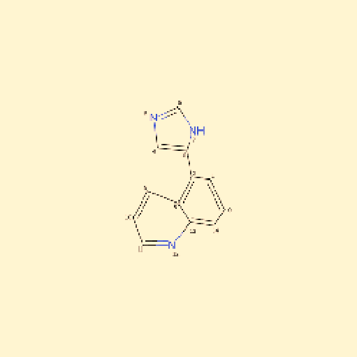 c1cc(-c2cnc[nH]2)c2cccnc2c1